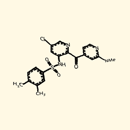 CNc1cc(C(=O)c2ncc(Cl)cc2NS(=O)(=O)c2ccc(C)c(C)c2)ccn1